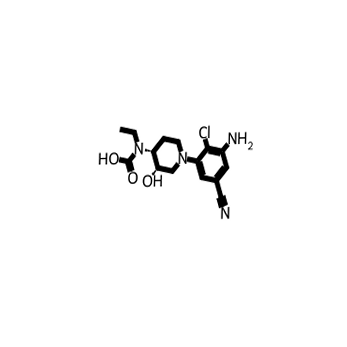 CCN(C(=O)O)[C@@H]1CCN(c2cc(C#N)cc(N)c2Cl)C[C@@H]1O